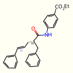 CCOC(=O)c1ccc(NC(=O)[C@@H](C/C=C/c2ccccc2)Cc2ccccc2)cc1